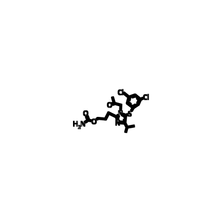 CC(=O)Cn1c(CCCOC(N)=O)nc(C(C)C)c1Sc1cc(Cl)cc(Cl)c1